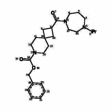 CC(C)N1CCCN(C(=O)C2CC3(CCN(C(=O)OCc4ccccc4)CC3)C2)CC1